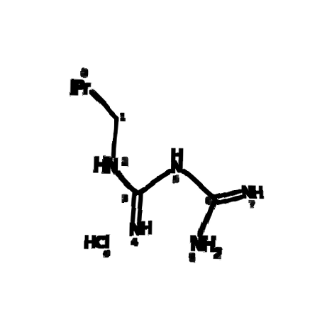 CC(C)CNC(=N)NC(=N)N.Cl